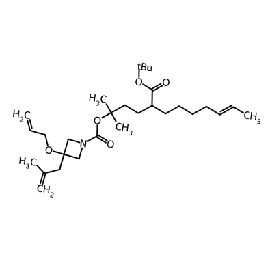 C=CCOC1(CC(=C)C)CN(C(=O)OC(C)(C)CCC(CCCCC=CC)C(=O)OC(C)(C)C)C1